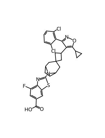 O=C(O)c1cc(F)c2nc(N3C4CCC3CC3(CC(c5c(-c6c(Cl)cccc6Cl)noc5C5CC5)C3)C4)sc2c1